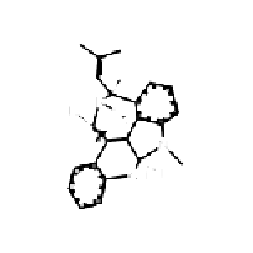 CC(C)=C[C@@H]1c2cccc3c2[C@]24CCN1[C@H]1CCC[C@]12c1ccccc1N[C@@H]4N3C